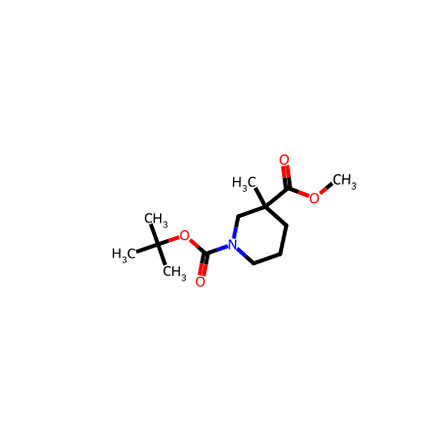 COC(=O)C1(C)CCCN(C(=O)OC(C)(C)C)C1